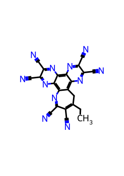 CCC1=C(C#N)C(C#N)=Nc2c(c3nc(C#N)c(C#N)nc3c3nc(C#N)c(C#N)nc23)C1